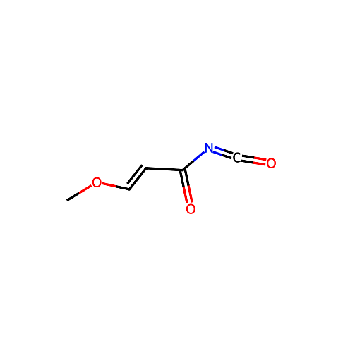 COC=CC(=O)N=C=O